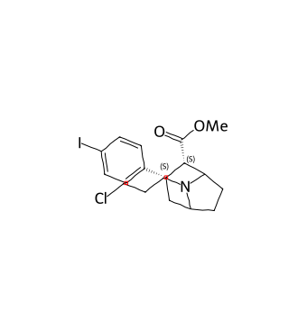 COC(=O)[C@@H]1C2CCC(C[C@@H]1c1ccc(I)cc1)N2CCCCl